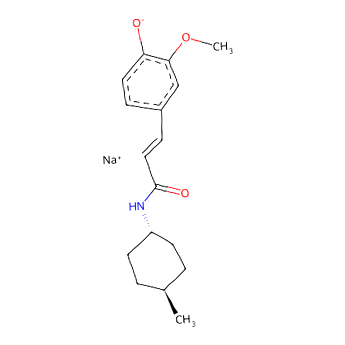 COc1cc(C=CC(=O)N[C@H]2CC[C@H](C)CC2)ccc1[O-].[Na+]